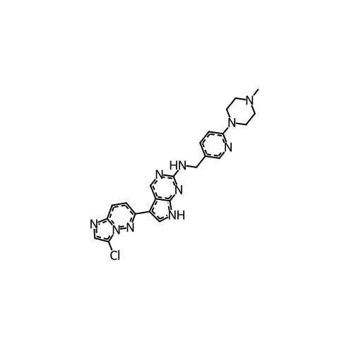 CN1CCN(c2ccc(CNc3ncc4c(-c5ccc6ncc(Cl)n6n5)c[nH]c4n3)cn2)CC1